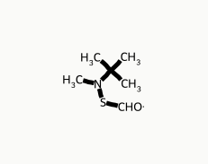 CN(S[C]=O)C(C)(C)C